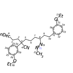 CCCCCCCCCCCCC(C#N)(CCCC(CCc1cccc(OCC)c1)/N=N/C)c1cccc(OCC)c1